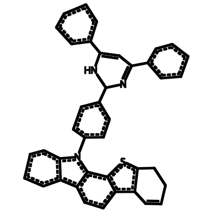 C1=Cc2c(sc3c2ccc2c4ccccc4n(-c4ccc(C5N=C(c6ccccc6)C=C(c6ccccc6)N5)cc4)c23)CC1